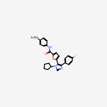 CC(=O)Nc1ccc(NC(=O)c2ccc(-c3c(-c4ccc(F)cc4)ncn3C3CCCC3)o2)cc1